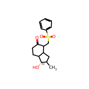 CC1CC2C(CS(=O)(=O)c3ccccc3)C(=O)CCC2[C@H]1O